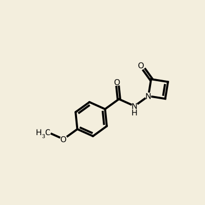 COc1ccc(C(=O)NN2C=CC2=O)cc1